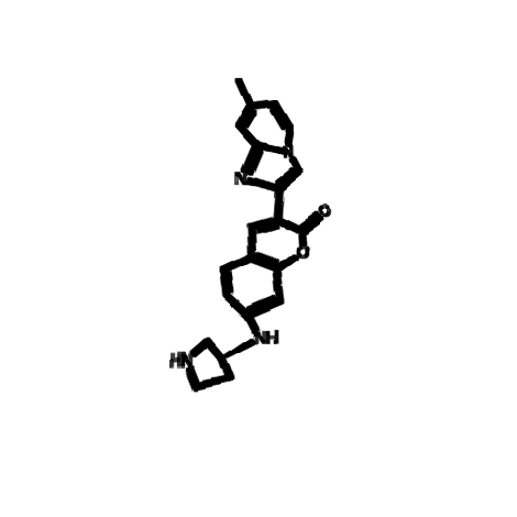 Cc1ccn2cc(-c3cc4ccc(N[C@H]5CCNC5)cc4oc3=O)nc2c1